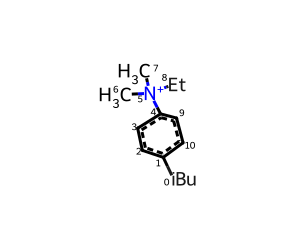 CCC(C)c1ccc([N+](C)(C)CC)cc1